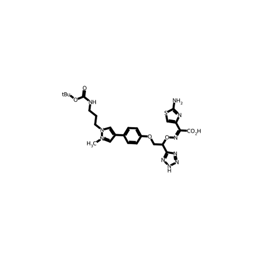 C[n+]1cc(-c2ccc(OCC(ON=C(C(=O)O)c3csc(N)n3)c3nn[nH]n3)cc2)cn1CCCNC(=O)OC(C)(C)C